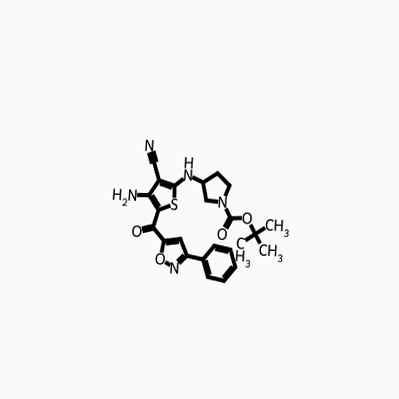 CC(C)(C)OC(=O)N1CCC(Nc2sc(C(=O)c3cc(-c4ccccc4)no3)c(N)c2C#N)C1